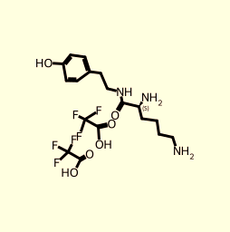 NCCCC[C@H](N)C(=O)NCCc1ccc(O)cc1.O=C(O)C(F)(F)F.O=C(O)C(F)(F)F